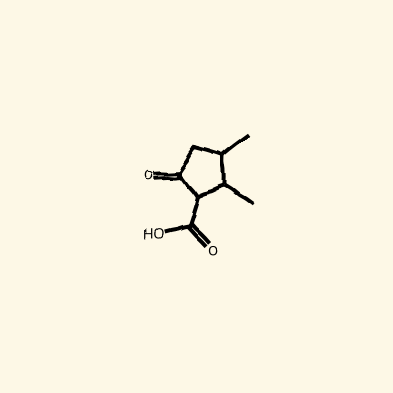 CC1CC(=O)C(C(=O)O)C1C